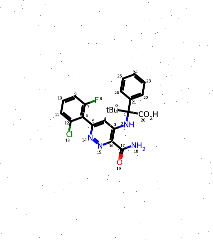 CC(C)(C)C(Nc1cc(-c2c(F)cccc2Cl)nnc1C(N)=O)(C(=O)O)c1ccccc1